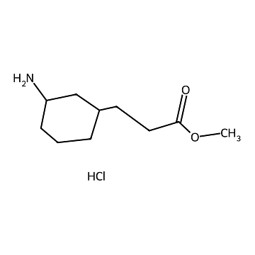 COC(=O)CCC1CCCC(N)C1.Cl